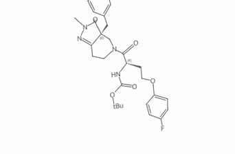 CN1N=C2CCN(C(=O)[C@@H](CCOc3ccc(F)cc3)NC(=O)OC(C)(C)C)C[C@@]2(Cc2ccccc2)C1=O